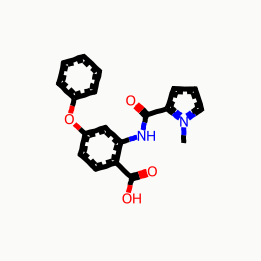 Cn1cccc1C(=O)Nc1cc(Oc2ccccc2)ccc1C(=O)O